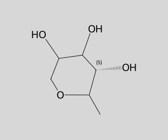 CC1OCC(O)C(O)[C@@H]1O